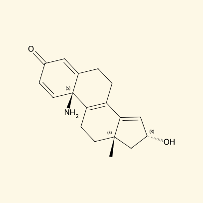 C[C@@]12CCC3=C(CCC4=CC(=O)C=C[C@]43N)C1=C[C@H](O)C2